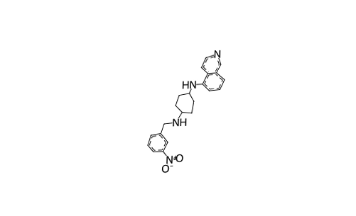 O=[N+]([O-])c1cccc(CNC2CCC(Nc3cccc4cnccc34)CC2)c1